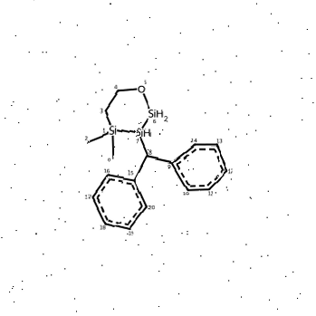 C[Si]1(C)CCO[SiH2][SiH]1C(c1ccccc1)c1ccccc1